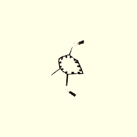 Cc1cc(N=O)ccc1N=O